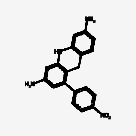 Nc1ccc2c(c1)Nc1cc(N)cc(-c3ccc([N+](=O)[O-])cc3)c1C2